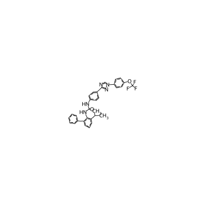 CC(C)c1cccc(-c2ccccc2)c1NC(=O)Nc1ccc(-c2ncn(-c3ccc(OC(F)(F)F)cc3)n2)cc1